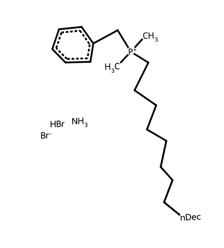 Br.CCCCCCCCCCCCCCCCCC[P+](C)(C)Cc1ccccc1.N.[Br-]